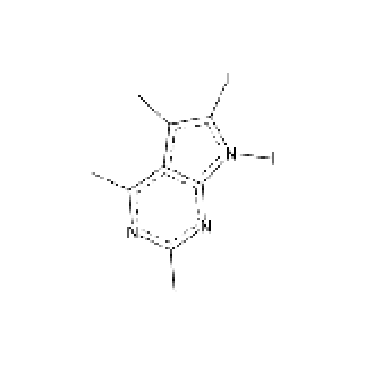 Cc1nc(C)c2c(C)c(I)n(I)c2n1